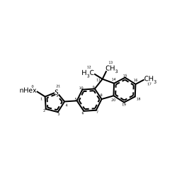 CCCCCCc1ccc(-c2ccc3c(c2)C(C)(C)c2cc(C)ccc2-3)s1